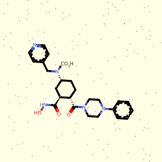 O=C(NO)[C@H]1C[C@H](N(Cc2ccncc2)C(=O)O)CC[C@@H]1C(=O)N1CCN(c2ccccc2)CC1